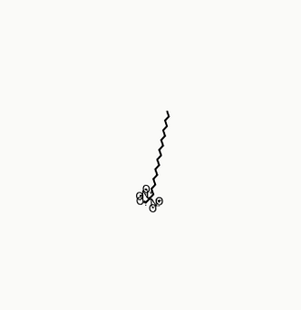 CCCCCCCCCCCCCCCCCCC([C]=O)([N+](=O)[O-])[N+](=O)[O-]